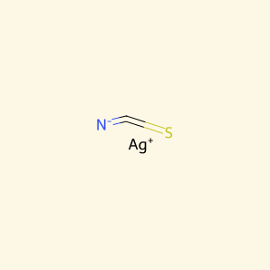 [Ag+].[N-]=C=S